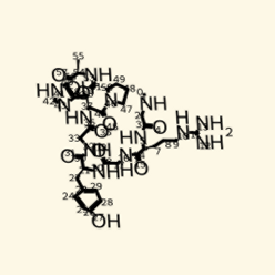 CNCC(=O)N[C@@H](CCCNC(=N)N)C(=O)NCC(=O)N[C@@H](Cc1ccc(O)cc1)C(=O)NCC(=O)N[C@@H](Cc1c[nH]cn1)C(=O)N1CCC[C@H]1C(=O)N[C@H](C)C(=O)O